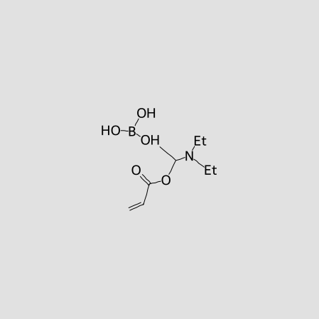 C=CC(=O)OC(C)N(CC)CC.OB(O)O